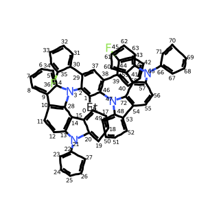 CCc1c(-n2c3ccccc3c3ccc4c(c5ccccc5n4-c4ccccc4)c32)c(-c2ccccc2F)cc(-c2ccccc2F)c1-n1c2ccccc2c2ccc3c(c4ccccc4n3-c3ccccc3)c21